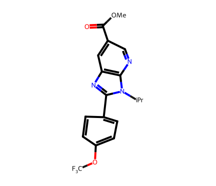 COC(=O)c1cnc2c(c1)nc(-c1ccc(OC(F)(F)F)cc1)n2C(C)C